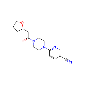 N#Cc1ccc(N2CCN(C(=O)CC3CCCO3)CC2)nc1